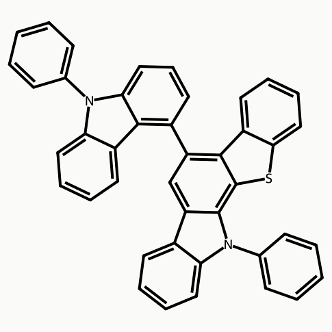 c1ccc(-n2c3ccccc3c3c(-c4cc5c6ccccc6n(-c6ccccc6)c5c5sc6ccccc6c45)cccc32)cc1